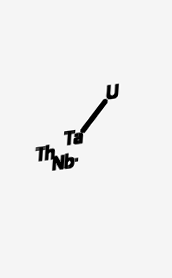 [Nb].[Ta][U].[Th]